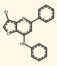 CCc1coc2c(Nc3ccccc3)cc(-c3ccccc3)nc12